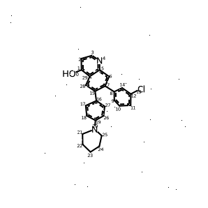 Oc1ccnc2cc(-c3cccc(Cl)c3)c(-c3ccc(N4CCCCC4)cc3)cc12